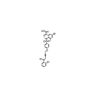 CCc1ccccc1N(CC)CC#CCOc1ccc(S(=O)(=O)N(C)c2c(C)cc(Br)cc2C(=O)NO)cc1